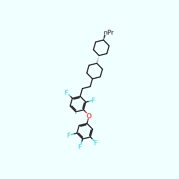 CCC[C@H]1CC[C@H](C2CCC(CCc3c(F)c[c]c(Oc4cc(F)c(F)c(F)c4)c3F)CC2)CC1